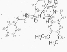 COc1cc2c(cc1OC)[C@@H]1C[C@H]3[C@H](CCCN3C(=O)NCCc3ccccc3)C(=O)N1CC2